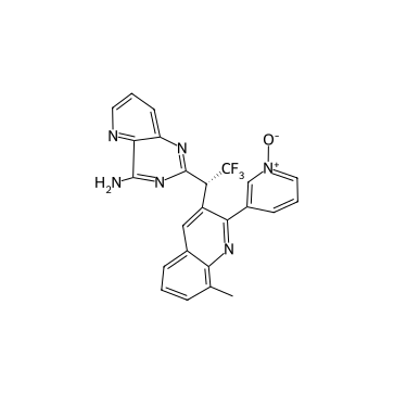 Cc1cccc2cc([C@H](c3nc(N)c4ncccc4n3)C(F)(F)F)c(-c3ccc[n+]([O-])c3)nc12